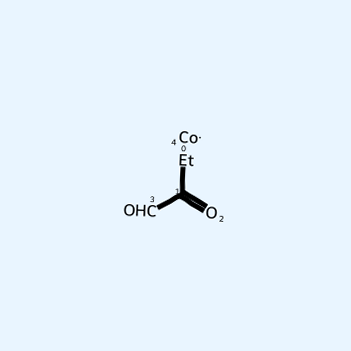 CCC(=O)C=O.[Co]